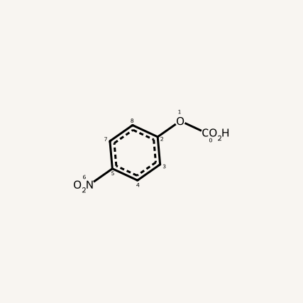 O=C(O)Oc1ccc([N+](=O)[O-])cc1